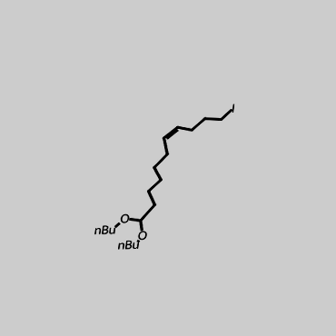 CCCCOC(CCCCC/C=C\CCCI)OCCCC